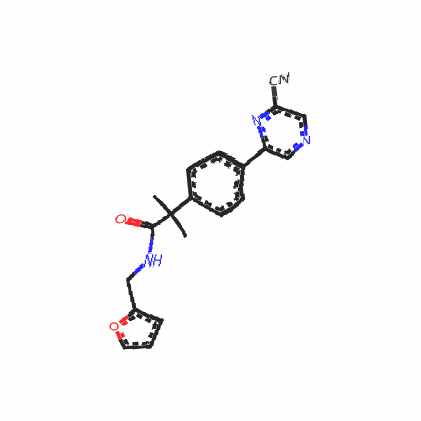 CC(C)(C(=O)NCc1ccco1)c1ccc(-c2cncc(C#N)n2)cc1